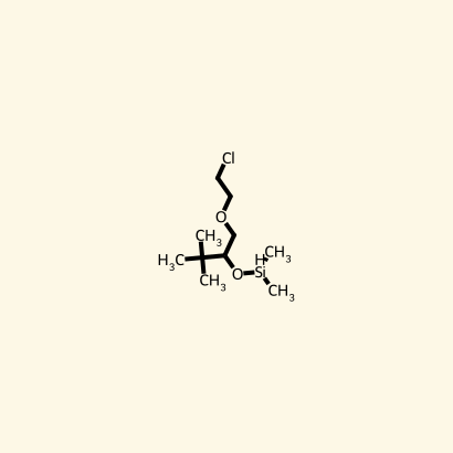 C[SiH](C)OC(COCCCl)C(C)(C)C